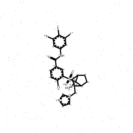 O=C(Nc1cc(F)c(F)c(F)c1)c1ccc(Cl)c(S(=O)(=O)[C@@H]2C3CCC2[C@@](O)(Cn2ccnc2)C3)c1